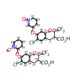 O=C(O)C1Cc2cc(Cl)c(Oc3ccc[n+]([O-])c3)cc2OC1C(F)(F)F.O=C(O)C1Cc2cc(Cl)c(Oc3cccc[n+]3[O-])cc2OC1C(F)(F)F